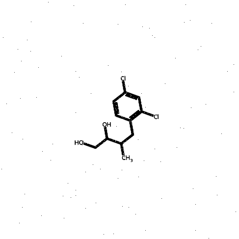 CC(Cc1ccc(Cl)cc1Cl)C(O)CO